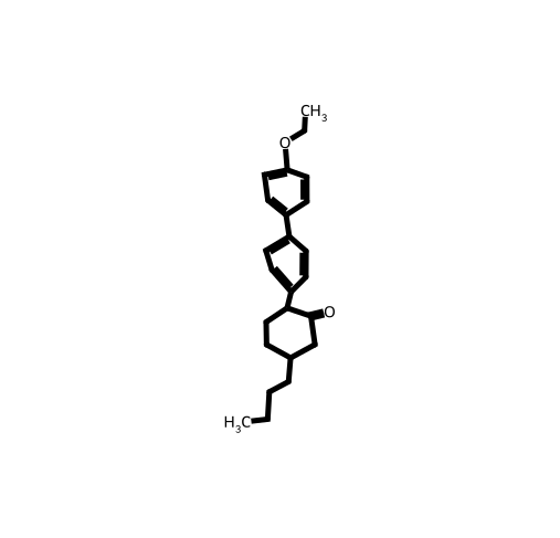 CCCCC1CCC(c2ccc(-c3ccc(OCC)cc3)cc2)C(=O)C1